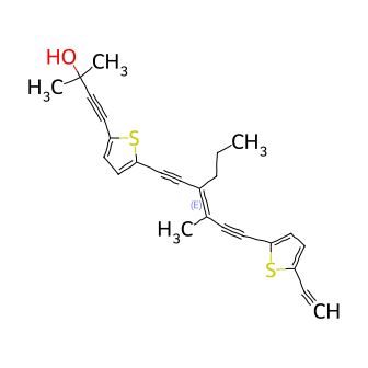 C#Cc1ccc(C#C/C(C)=C(/C#Cc2ccc(C#CC(C)(C)O)s2)CCC)s1